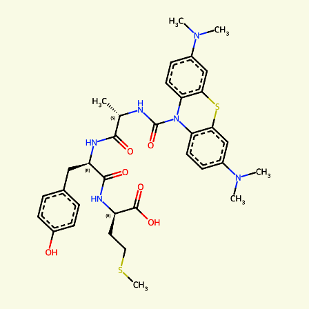 CSCC[C@@H](NC(=O)[C@@H](Cc1ccc(O)cc1)NC(=O)[C@H](C)NC(=O)N1c2ccc(N(C)C)cc2Sc2cc(N(C)C)ccc21)C(=O)O